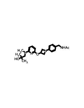 CC(=O)NCc1ccc(N2CC(Oc3cccc(N(C)CC(C)(C)O)n3)C2)cc1